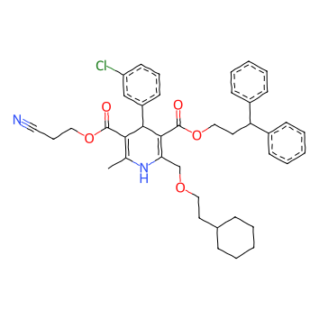 CC1=C(C(=O)OCCC#N)C(c2cccc(Cl)c2)C(C(=O)OCCC(c2ccccc2)c2ccccc2)=C(COCCC2CCCCC2)N1